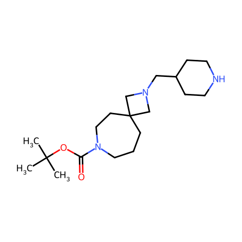 CC(C)(C)OC(=O)N1CCCC2(CC1)CN(CC1CCNCC1)C2